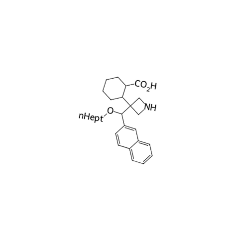 CCCCCCCOC(c1ccc2ccccc2c1)C1(C2CCCCC2C(=O)O)CNC1